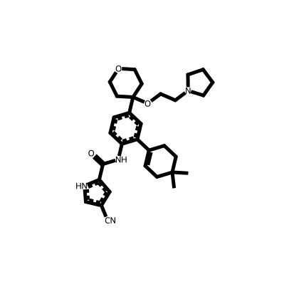 CC1(C)CC=C(c2cc(C3(OCCN4CCCC4)CCOCC3)ccc2NC(=O)c2cc(C#N)c[nH]2)CC1